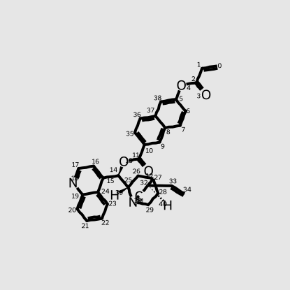 C=CC(=O)Oc1ccc2cc(C(=O)O[C@H](c3ccnc4ccccc34)[C@@H]3CC4CCN3C[C@@H]4C=C)ccc2c1